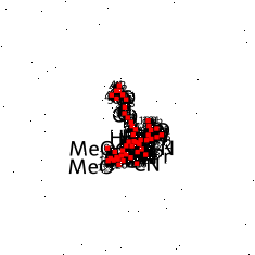 COc1ccc(C(OCC2OC(n3cnc4c(NC(=O)c5ccc(CNC(=O)COC(=O)CCCN(C)C(=O)OCC6c7ccccc7-c7ccccc76)cc5)ncnc43)CC2OP(OCCC#N)OCC2OC(n3cnc4c3N=C(NC(=O)CCCN(C)C(=O)OCC3c5ccccc5-c5ccccc53)NC4N)CC2OP(OCCC#N)N(C(C)C)C(C)C)(c2ccccc2)c2ccc(OC)cc2)cc1